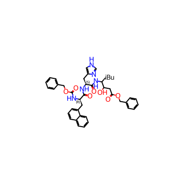 CCC(C)C(NC(=O)[C@H](Cc1c[nH]cn1)NC(=O)[C@@H](Cc1cccc2ccccc12)NC(=O)OCc1ccccc1)C(O)CC(=O)OCc1ccccc1